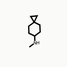 CNC1CCC2(CC1)CC2